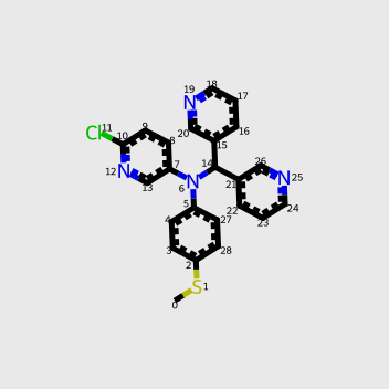 CSc1ccc(N(c2ccc(Cl)nc2)C(c2cccnc2)c2cccnc2)cc1